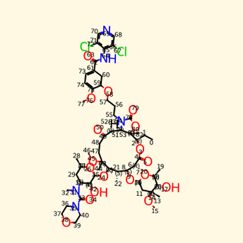 CC[C@H]1OC(=O)[C@H](C)[C@@H](O[C@H]2C[C@@](C)(OC)[C@@H](O)[C@H](C)O2)[C@H](C)[C@@H](OC2O[C@H](C)C[C@H](N(C)C(=O)N3CCOCC3)[C@H]2O)[C@](C)(OC)CCC(=O)[C@H](C)[C@H]2N(CCCOC3CC(C(=O)Nc4c(Cl)cncc4Cl)=CC=C3OC)C(=O)O[C@]12C